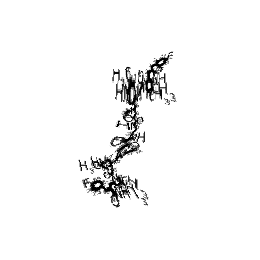 C[C@@H]1CN(CC(=O)N2CC(C)(C)c3[nH]c(=O)c(Cc4ccc(F)cc4)cc32)[C@@H](CN2CCO[C@H](C(=O)NCCNC(=O)[C@@H]3CN(C[C@H]4CN[C@H](C)CN4CC(=O)N4CC(C)(C)c5[nH]c(=O)c(Cc6ccc(F)cc6)cc54)CCO3)C2)CN1